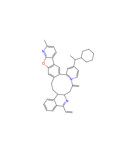 C=CC1=NC2CC(=C)[n+]3ccc(C(C)C4CCCCC4)cc3-c3cc4c(cc3CCC2c2ccccc21)oc1nc(C)ccc14